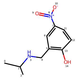 CC(C)NCc1cc([N+](=O)[O-])ccc1O